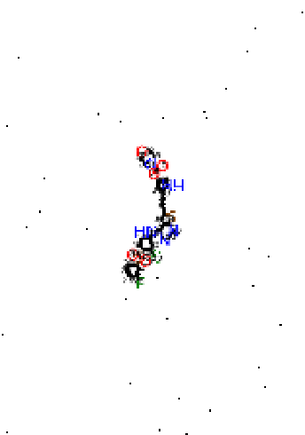 O=C(O[C@@H]1CN[C@H](C#Cc2cc3c(Nc4ccc(S(=O)(=O)c5cccc(F)c5)c(Cl)c4)ncnc3s2)C1)N1CCOCC1